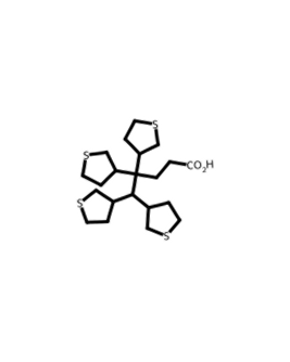 O=C(O)CCC(C1CCSC1)(C1CCSC1)C(C1CCSC1)C1CCSC1